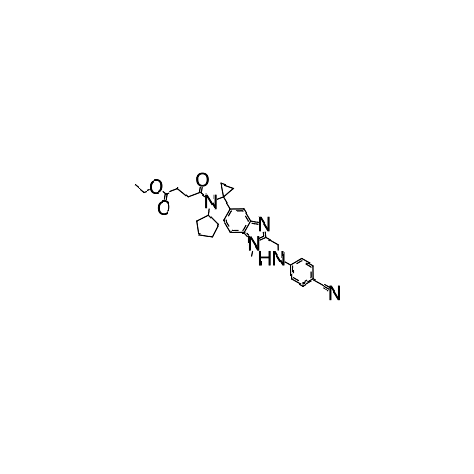 CCOC(=O)CCC(=O)N(C1CCCC1)C1(c2ccc3c(c2)nc(CNc2ccc(C#N)cc2)n3C)CC1